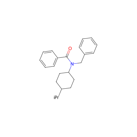 CC(C)C1CCC(N(Cc2ccccc2)C(=O)c2ccccc2)CC1